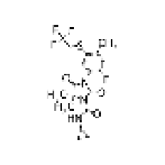 Cc1cc(F)c(N2C(=O)N(C(=O)NC3CC3)C(C)(C)C2=O)cc1SCC(F)(F)F